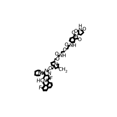 C#Cc1c(F)ccc2cccc(-c3ncc4c(N5CC6CCC(C5)N6)nc(OC[C@@]56CC[C@@H](COC(=O)NCCOCC(=O)Nc7ccc8c(c7)C(=O)N(C7CCC(=O)NC7=O)C8=O)N5CC(=C)C6)nc4c3F)c12